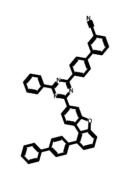 N#Cc1cccc(-c2ccc(-c3nc(-c4ccccc4)nc(-c4ccc5c(c4)oc4cccc(-c6ccc(-c7ccccc7)cc6)c45)n3)cc2)c1